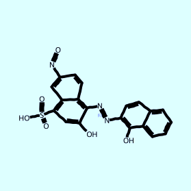 O=Nc1ccc2c(/N=N/c3ccc4ccccc4c3O)c(O)cc(S(=O)(=O)O)c2c1